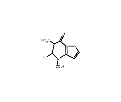 CCC1C(C(=O)O)C(=O)c2sccc2N1C(=O)O